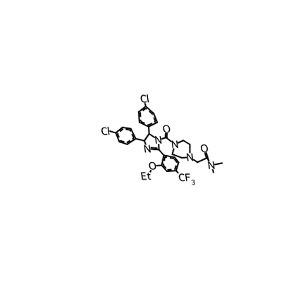 CCOc1cc(C(F)(F)F)ccc1C1=NC(c2ccc(Cl)cc2)C(c2ccc(Cl)cc2)N1C(=O)N1CCN(CC(=O)N(C)C)CC1